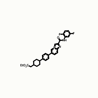 CCOC(=O)CC1CCC(c2ccc(-c3ccc4nc(C(=O)Nc5cc(F)ccc5F)cn4c3)cc2)CC1